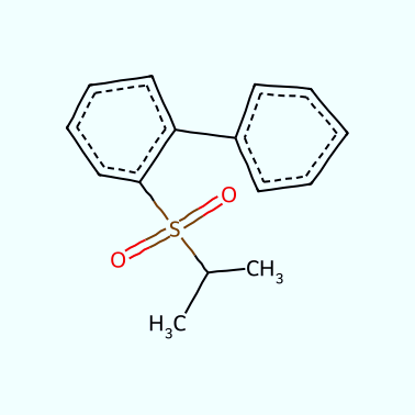 CC(C)S(=O)(=O)c1ccccc1-c1ccccc1